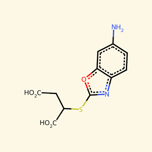 Nc1ccc2nc(SC(CC(=O)O)C(=O)O)oc2c1